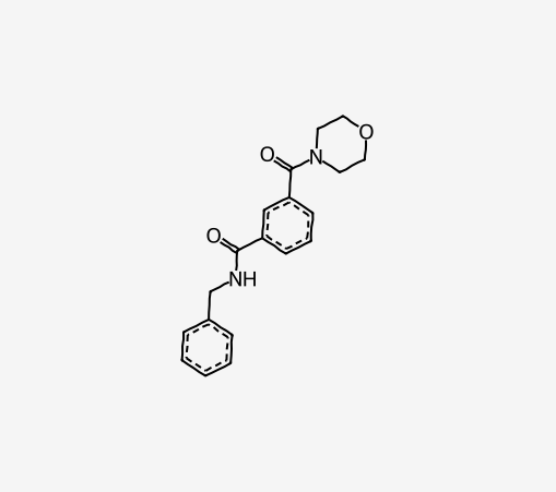 O=C(NCc1ccccc1)c1cccc(C(=O)N2CCOCC2)c1